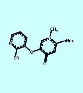 CCCCCCc1cc(=O)c(Oc2cccnc2C#N)cn1C